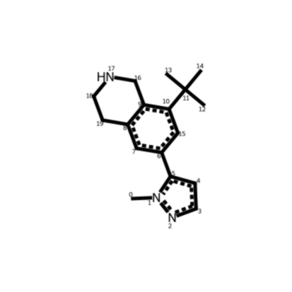 Cn1nccc1-c1cc2c(c(C(C)(C)C)c1)CNCC2